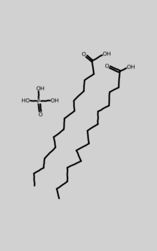 CCCCCCCCCCCCCC(=O)O.CCCCCCCCCCCCCC(=O)O.O=P(O)(O)O